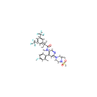 Cc1cc(F)ccc1-c1cc(N2CCN(S(C)(=O)=O)C(C)C2)ncc1N(C)C(=O)C(C)(C)c1cc(C(F)(F)F)cc(C(F)(F)F)c1